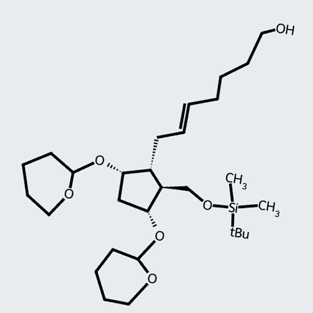 CC(C)(C)[Si](C)(C)OC[C@@H]1[C@@H](CC=CCCCCO)[C@@H](OC2CCCCO2)C[C@H]1OC1CCCCO1